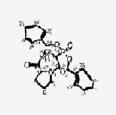 CC(C(=O)N1CCC[C@H]1C(=O)O)P(=O)(OCc1ccccc1)OCc1ccccc1